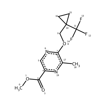 COC(=O)c1cnc(OCC2(C(F)(F)F)CC2)c(C)n1